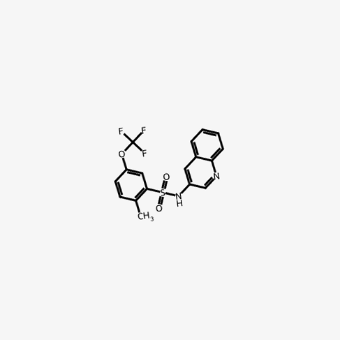 Cc1ccc(OC(F)(F)F)cc1S(=O)(=O)Nc1cnc2ccccc2c1